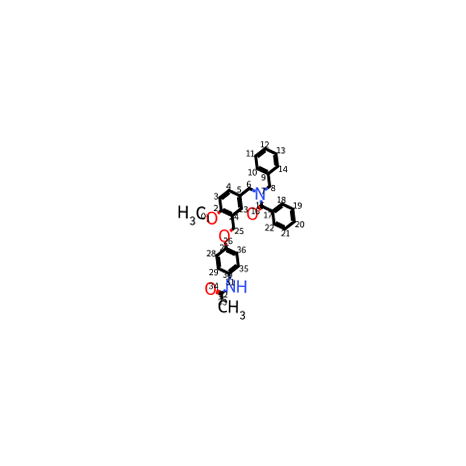 COc1ccc(CN(Cc2ccccc2)C(=O)c2ccccc2)cc1COc1ccc(NC(C)=O)cc1